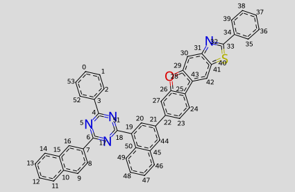 c1ccc(-c2nc(-c3ccc4ccccc4c3)nc(-c3cc(-c4ccc5c(c4)oc4cc6nc(-c7ccccc7)sc6cc45)cc4ccccc34)n2)cc1